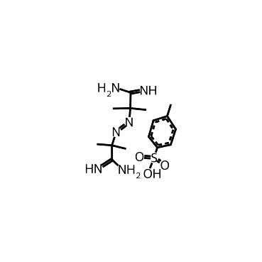 CC(C)(N=NC(C)(C)C(=N)N)C(=N)N.Cc1ccc(S(=O)(=O)O)cc1